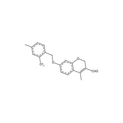 CC1=C(C=O)COc2cc(OCc3ccc(C)cc3C(F)(F)F)ccc21